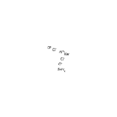 [Al+3].[Cl-].[Cl-].[Cl-].[Cl-].[Na+].[SnH4]